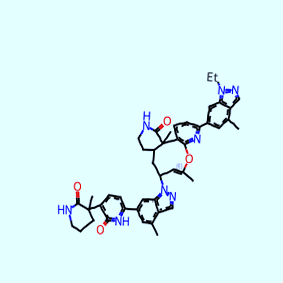 CCn1ncc2c(C)cc(-c3ccc4c(n3)O/C(C)=C/C(n3ncc5c(C)cc(-c6ccc(C7(C)CCCNC7=O)c(=O)[nH]6)cc53)CC3CCNC(=O)C43C)cc21